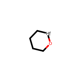 C1C[CH2][Hf][O]C1